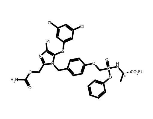 CCOC(=O)[C@H](C)NP(=O)(COc1ccc(Cn2c(COC(N)=O)nc(C(C)C)c2Sc2cc(Cl)cc(Cl)c2)cc1)Oc1ccccc1